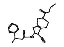 CCCC(=O)N1CCC2=C(C1)SC(NC(=O)CC(C)c1ccccc1)C2C#N